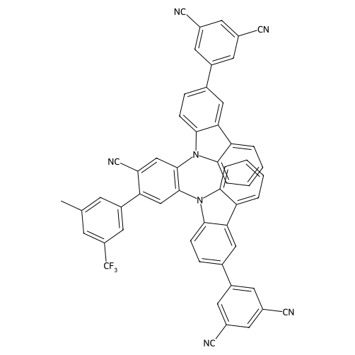 Cc1cc(-c2cc(-n3c4ccccc4c4cc(-c5cc(C#N)cc(C#N)c5)ccc43)c(-n3c4ccccc4c4cc(-c5cc(C#N)cc(C#N)c5)ccc43)cc2C#N)cc(C(F)(F)F)c1